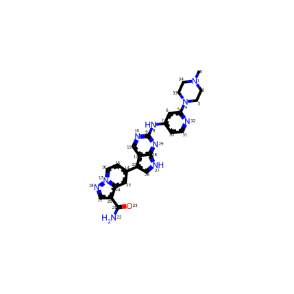 CN1CCN(c2cc(Nc3ncc4c(-c5ccn6ncc(C(N)=O)c6c5)c[nH]c4n3)ccn2)CC1